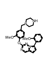 COc1cc(CN2CCNCC2)ccc1Oc1ncc2ccc(-c3ccccc3OC)n2n1